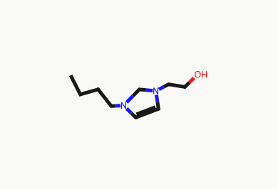 CCCCN1C=CN(CCO)C1